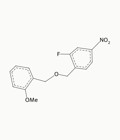 COc1ccccc1COCc1ccc([N+](=O)[O-])cc1F